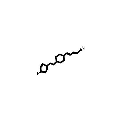 N#CC=CC=CC1CCC(CCc2ccc(F)cc2)CC1